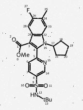 COC(=O)c1c(-c2ccc(S(=O)(=O)NC(C)(C)C)cn2)n(C2CCCC2)c2cc(C)c(F)cc12